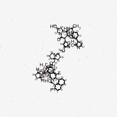 C#Cc1c(F)ccc2cccc(-c3ncc4c(N5C[C@H]6CC[C@@H](C5)N6C(=O)OC(C)(C)C)nc(OC[C@@]56CCCN5[C@H](COc5cc(C(C(=O)N7C[C@H](O)C[C@H]7C(=O)N[C@@H](C)c7ccc(-c8scnc8C)cc7)C(C)C)on5)CC6)nc4c3F)c12